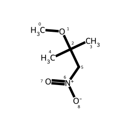 COC(C)(C)C[N+](=O)[O-]